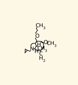 C=C1/C=C\C(OC)=C/C[C@@]2(CCOCCCC)CCN(CC3CC3)[C@H](C1)[C@@H]2C